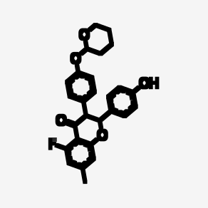 Cc1cc(F)c2c(c1)OC(c1ccc(O)cc1)C(c1ccc(OC3CCCCO3)cc1)C2=O